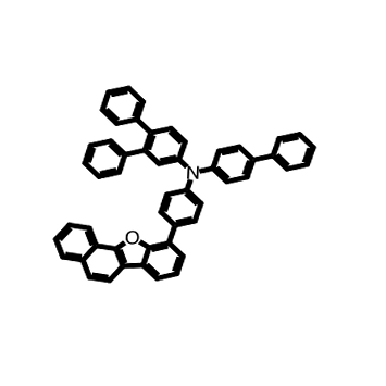 c1ccc(-c2ccc(N(c3ccc(-c4cccc5c4oc4c6ccccc6ccc54)cc3)c3ccc(-c4ccccc4)c(-c4ccccc4)c3)cc2)cc1